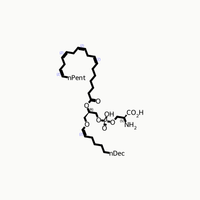 CCCCC/C=C\C/C=C\C/C=C\C/C=C\CCCCCC(=O)O[C@H](CO/C=C\CCCCCCCCCCCCCC)COP(=O)(O)OC[C@H](N)C(=O)O